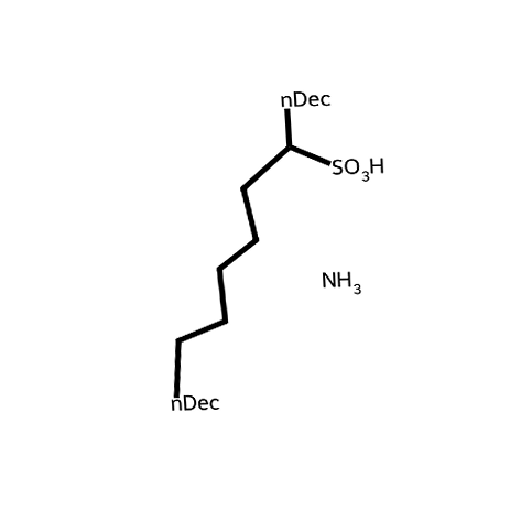 CCCCCCCCCCCCCCCC(CCCCCCCCCC)S(=O)(=O)O.N